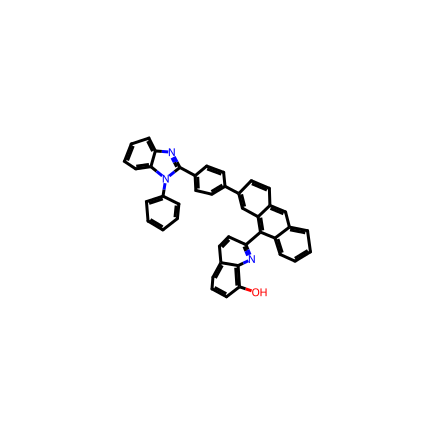 Oc1cccc2ccc(-c3c4ccccc4cc4ccc(-c5ccc(-c6nc7ccccc7n6-c6ccccc6)cc5)cc34)nc12